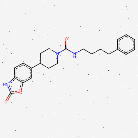 O=C(NCCCCc1ccccc1)N1CCC(c2ccc3[nH]c(=O)oc3c2)CC1